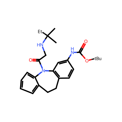 CCC(C)(C)NCC(=O)N1c2ccccc2CCc2ccc(NC(=O)OC(C)(C)C)cc21